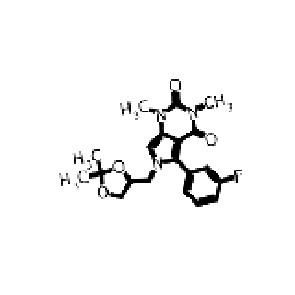 Cn1c(=O)c2c(-c3cccc(F)c3)n(CC3COC(C)(C)O3)cc2n(C)c1=O